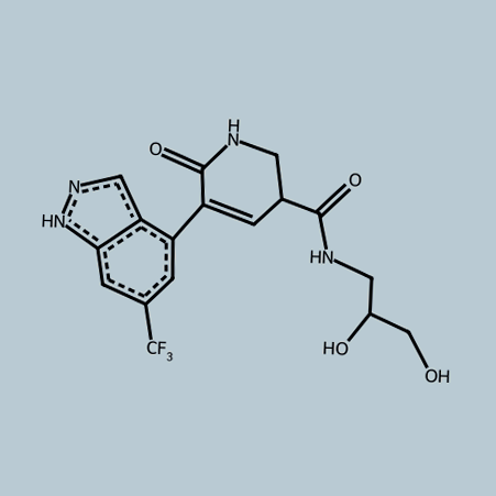 O=C1NCC(C(=O)NCC(O)CO)C=C1c1cc(C(F)(F)F)cc2[nH]ncc12